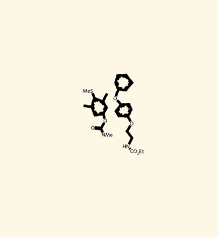 CCOC(=O)NCCOc1ccc(Oc2ccccc2)cc1.CNC(=O)Oc1cc(C)c(SC)c(C)c1